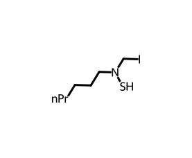 CCCCCCN(S)CI